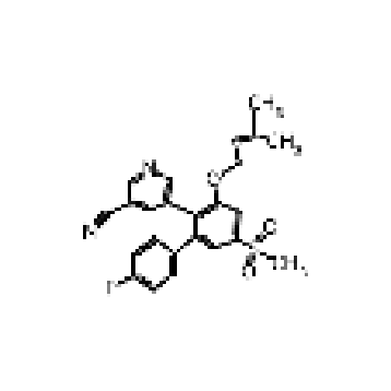 CC(C)=CCOc1cc(S(C)(=O)=O)cc(-c2ccc(F)cc2)c1-c1cncc(C#N)c1